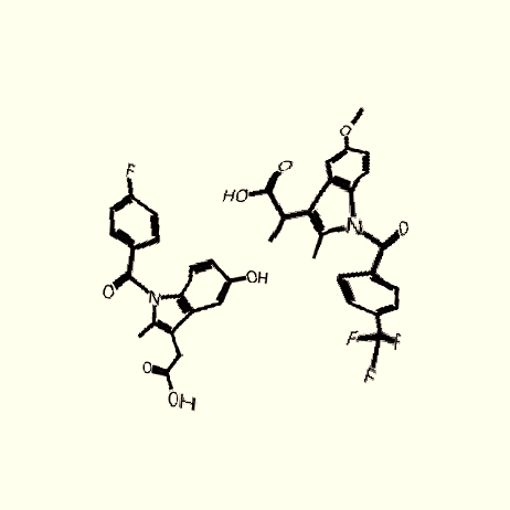 COc1ccc2c(c1)c(C(C)C(=O)O)c(C)n2C(=O)c1ccc(C(F)(F)F)cc1.Cc1c(CC(=O)O)c2cc(O)ccc2n1C(=O)c1ccc(F)cc1